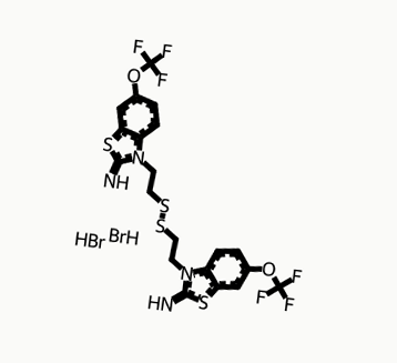 Br.Br.N=c1sc2cc(OC(F)(F)F)ccc2n1CCSSCCn1c(=N)sc2cc(OC(F)(F)F)ccc21